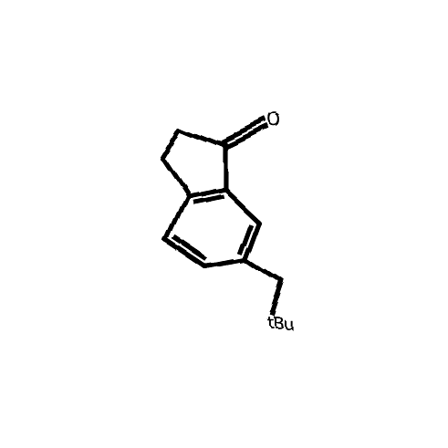 CC(C)(C)Cc1ccc2c(c1)C(=O)CC2